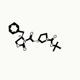 CC(C)(C)OC(=O)N1CC[C@@H](CC(=O)N2C(=O)OC[C@H]2Cc2ccccc2)C1